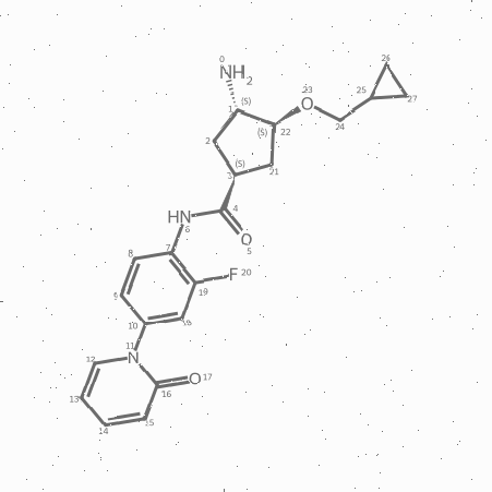 N[C@H]1C[C@H](C(=O)Nc2ccc(-n3ccccc3=O)cc2F)C[C@@H]1OCC1CC1